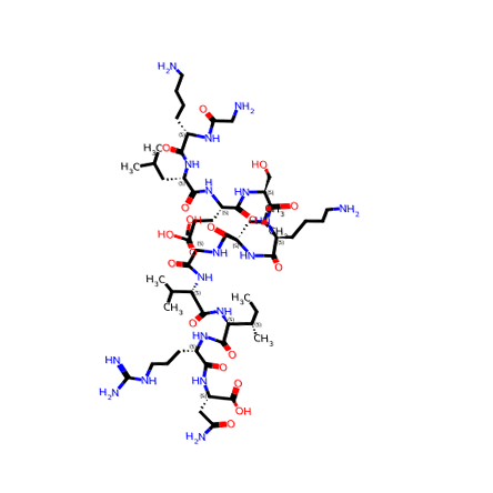 CC[C@H](C)[C@H](NC(=O)[C@@H](NC(=O)[C@H](CO)NC(=O)[C@H](CC(C)C)NC(=O)[C@H](CCCCN)NC(=O)[C@H](CO)NC(=O)[C@H](CCC(=O)O)NC(=O)[C@H](CC(C)C)NC(=O)[C@H](CCCCN)NC(=O)CN)C(C)C)C(=O)N[C@@H](CCCNC(=N)N)C(=O)N[C@@H](CC(N)=O)C(=O)O